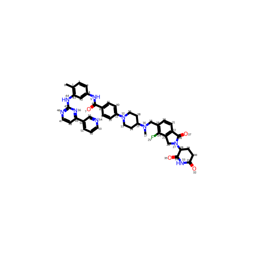 Cc1ccc(NC(=O)c2ccc(N3CCC(N(C)Cc4ccc5c(c4F)CN(C4CCC(=O)NC4=O)C5=O)CC3)cc2)cc1Nc1nccc(-c2cccnc2)n1